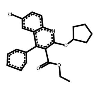 CCOC(=O)c1c(OC2CCCC2)nc2ccc(Cl)cc2c1-c1ccccc1